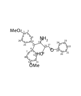 COc1ccc(C(c2ccc(OC)cc2)C(N)C(O)COc2ccccc2)cc1